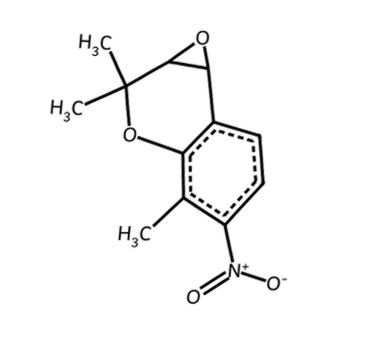 Cc1c([N+](=O)[O-])ccc2c1OC(C)(C)C1OC21